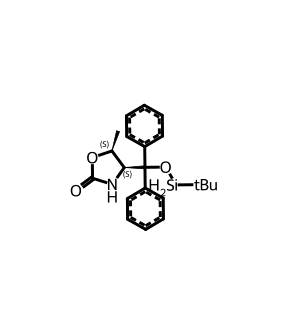 C[C@@H]1OC(=O)N[C@@H]1C(O[SiH2]C(C)(C)C)(c1ccccc1)c1ccccc1